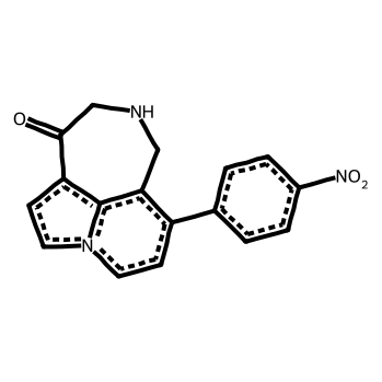 O=C1CNCc2c(-c3ccc([N+](=O)[O-])cc3)ccn3ccc1c23